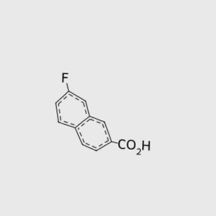 O=C(O)c1ccc2ccc(F)cc2c1